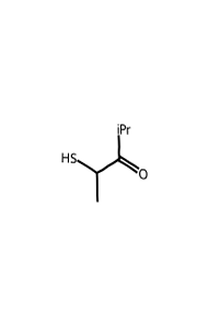 CC(C)C(=O)C(C)S